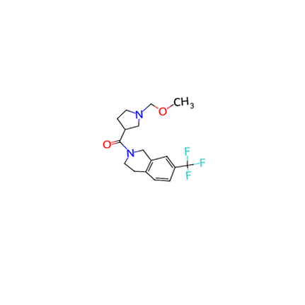 COCN1CCC(C(=O)N2CCc3ccc(C(F)(F)F)cc3C2)C1